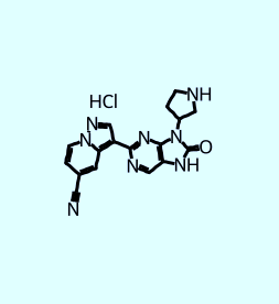 Cl.N#Cc1ccn2ncc(-c3ncc4[nH]c(=O)n(C5CCNC5)c4n3)c2c1